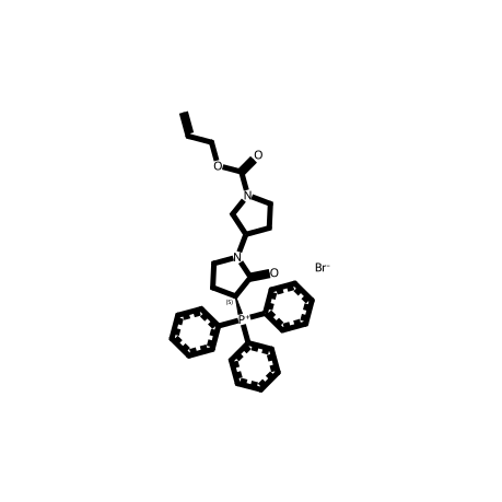 C=CCOC(=O)N1CCC(N2CC[C@H]([P+](c3ccccc3)(c3ccccc3)c3ccccc3)C2=O)C1.[Br-]